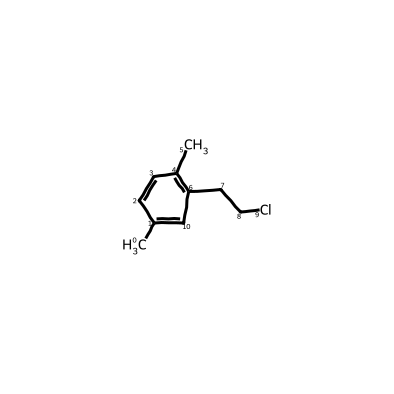 Cc1ccc(C)c(CCCl)c1